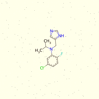 CC(C)N(Cc1cnc[nH]1)c1cc(Cl)ccc1F